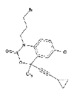 O=C1OC(C#CC2CC2)(C(F)(F)F)c2cc(Cl)ccc2N1CCCBr